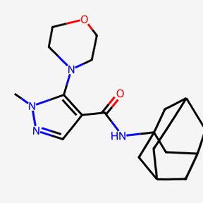 Cn1ncc(C(=O)NC23CC4CC(CC(C4)C2)C3)c1N1CCOCC1